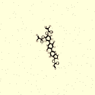 C=CC(=O)OC1CCc2cc(-c3cc(C)c(-c4ccc(OC(=O)C(=C)C)c(OC(=O)C(=C)C)c4)cc3C)ccc21